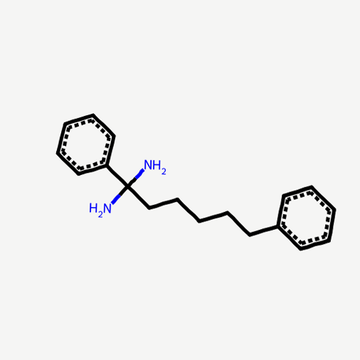 NC(N)(CCCCCc1ccccc1)c1ccccc1